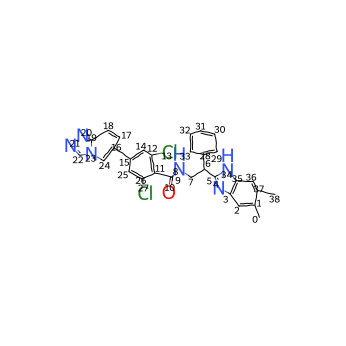 Cc1cc2nc(C(CNC(=O)c3c(Cl)cc(-c4ccc5nncn5c4)cc3Cl)c3ccccc3)[nH]c2cc1C